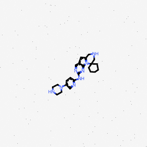 c1cc(Nc2ncc3cc4n(c3n2)C2(CCCCC2)CNC4)ncc1N1CCNCC1